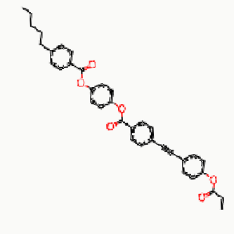 C=CC(=O)Oc1ccc(C#Cc2ccc(C(=O)Oc3ccc(OC(=O)c4ccc(CCCCC)cc4)cc3)cc2)cc1